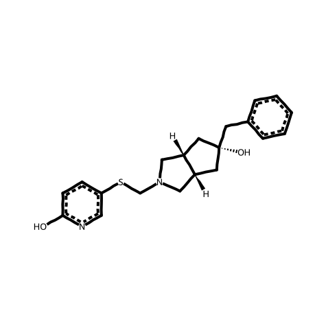 Oc1ccc(SCN2C[C@@H]3C[C@@](O)(Cc4ccccc4)C[C@@H]3C2)cn1